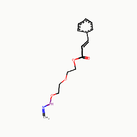 C=NPOCCOCCOC(=O)/C=C/c1ccccc1